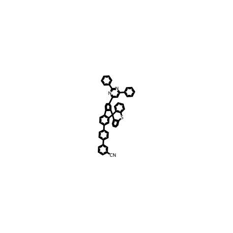 N#Cc1cccc(-c2ccc(-c3ccc4c(c3)C3(c5ccccc5Sc5ccccc53)c3cc(-c5cc(-c6ccccc6)nc(-c6ccccc6)n5)ccc3-4)cc2)c1